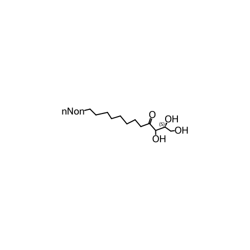 CCCCCCCCCCCCCCCCCC(=O)C(O)[C@@H](O)CO